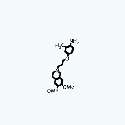 COc1cc2c(cc1OC)CN(CCCOc1ccc(N)c(C)c1)CC2